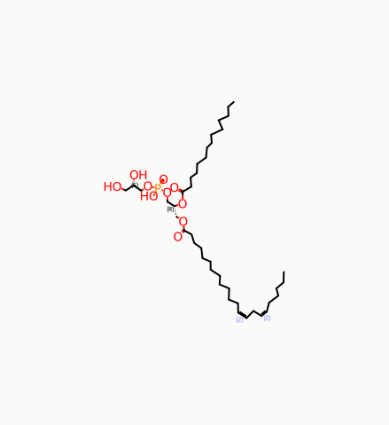 CCCCC/C=C\C/C=C\CCCCCCCCCCCC(=O)OC[C@H](COP(=O)(O)OC[C@@H](O)CO)OC(=O)CCCCCCCCCCCCC